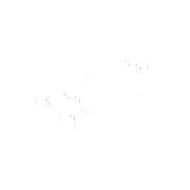 Cc1cc(-n2nc(N)c(=O)[nH]c2=O)cc(C)c1Cc1cc(C2(C)CCCC2)c(=O)[nH]n1